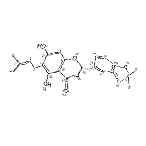 CC(C)=CCc1c(O)cc2c(c1O)C(=O)C[C@@H](c1ccc3c(c1)OC(C)(C)O3)O2